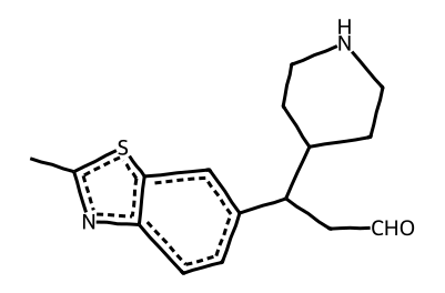 Cc1nc2ccc(C(CC=O)C3CCNCC3)cc2s1